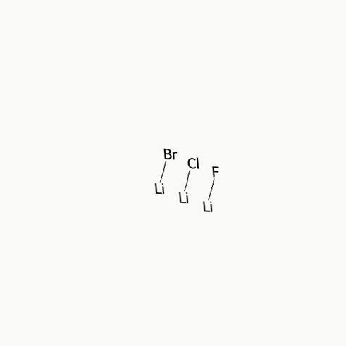 [Li][Br].[Li][Cl].[Li][F]